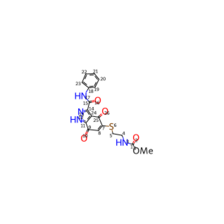 COC(=O)NCCSC1=CC(=O)c2[nH]nc(C(=O)Nc3ccccc3)c2C1=O